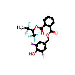 CC(F)(F)C(OC(=O)c1ccccc1C(=O)OCc1cc(I)c(O)c(I)c1)C(F)(F)F